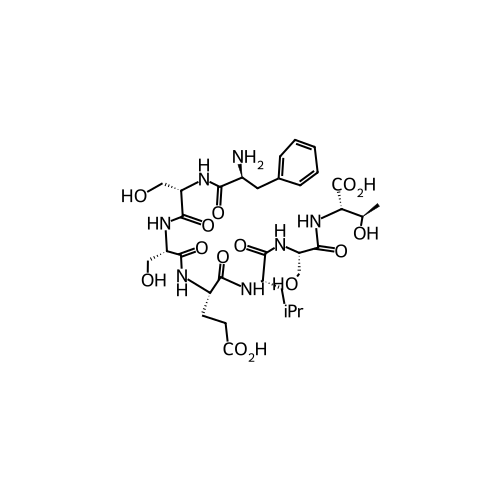 CC(C)C[C@H](NC(=O)[C@H](CCC(=O)O)NC(=O)[C@H](CO)NC(=O)[C@H](CO)NC(=O)[C@@H](N)Cc1ccccc1)C(=O)N[C@@H](CO)C(=O)N[C@H](C(=O)O)[C@@H](C)O